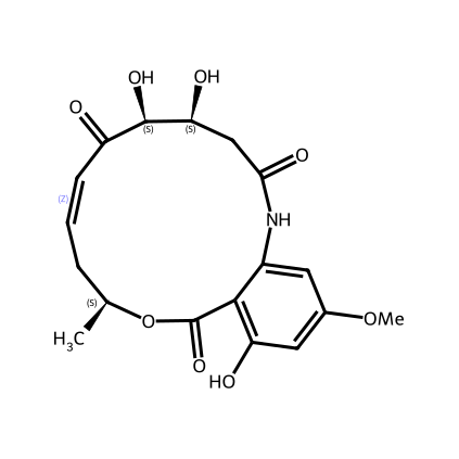 COc1cc(O)c2c(c1)NC(=O)C[C@H](O)[C@H](O)C(=O)/C=C\C[C@H](C)OC2=O